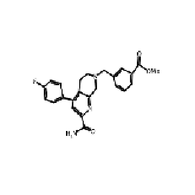 COC(=O)c1cccc(CN2CCc3c(-c4ccc(F)cc4)cc(C(N)=O)nc3C2)c1